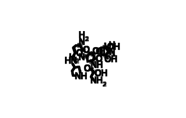 CN[C@@H]1[C@@H](O)[C@@H](O[C@@H]2[C@@H](O)[C@H](O[C@H]3OC(CNCC4CCNCC4)=CC[C@H]3N)[C@@H](N)C[C@H]2NC(=O)[C@@H](O)CN)OC[C@]1(C)O